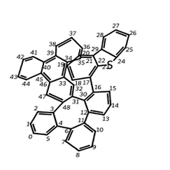 c1ccc2c(c1)-c1ccccc1-c1cccc(-c3cccc4c3sc3ccccc34)c1-c1cc3c4ccccc4c4ccccc4c3cc1-2